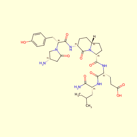 CC(C)C[C@@H](NC(=O)[C@@H](CCC(=O)O)NC(=O)[C@H]1CC[C@H]2CC[C@@H](NC(=O)[C@@H](Cc3ccc(O)cc3)N3C[C@@H](N)CC3=O)C(=O)N21)C(N)=O